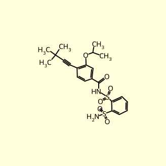 CC(C)Oc1cc(C(=O)NS(=O)(=O)c2ccccc2S(N)(=O)=O)ccc1C#CC(C)(C)C